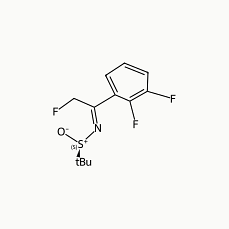 CC(C)(C)[S@@+]([O-])N=C(CF)c1cccc(F)c1F